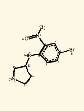 O=[N+]([O-])c1cc(Br)ccc1NC1CCNC1